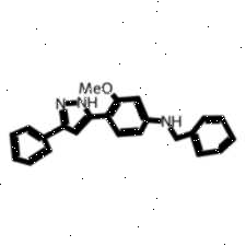 COc1cc(NCc2ccccc2)ccc1-c1cc(-c2ccccc2)n[nH]1